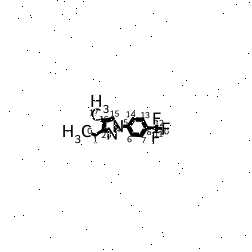 CCc1nn(-c2ccc(C(F)(F)F)cc2)cc1C